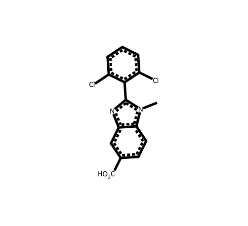 Cn1c(-c2c(Cl)cccc2Cl)nc2cc(C(=O)O)ccc21